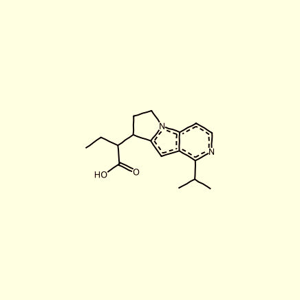 CCC(C(=O)O)C1CCn2c1cc1c(C(C)C)nccc12